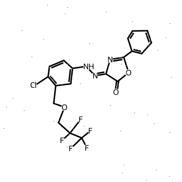 O=C1OC(c2ccccc2)=NC1=NNc1ccc(Cl)c(COCC(F)(F)C(F)(F)F)c1